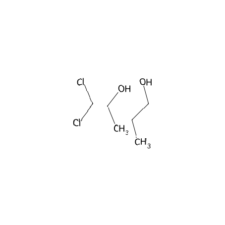 CCCO.CCO.ClCCl